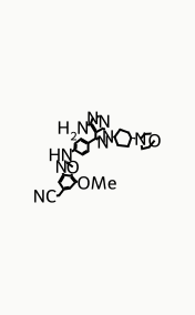 COc1cc(CC#N)cc2nc(Nc3ccc(-c4nn([C@H]5CC[C@H](N6CCOCC6)CC5)c5ncnc(N)c45)cc3)oc12